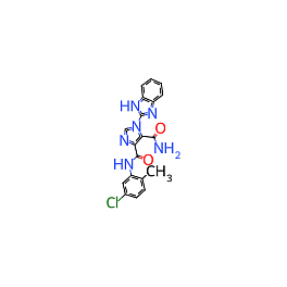 Cc1ccc(Cl)cc1NC(=O)c1ncn(-c2nc3ccccc3[nH]2)c1C(N)=O